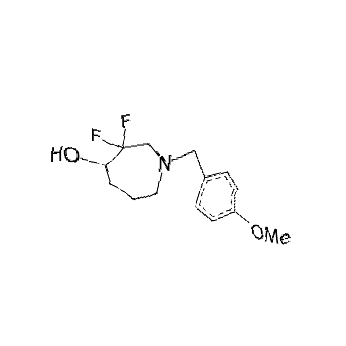 COc1ccc(CN2CCCC(O)C(F)(F)C2)cc1